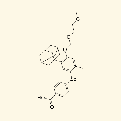 COCCOCOc1cc(C)c([Se]c2ccc(C(=O)O)cc2)cc1C12CC3CC(CC(C3)C1)C2